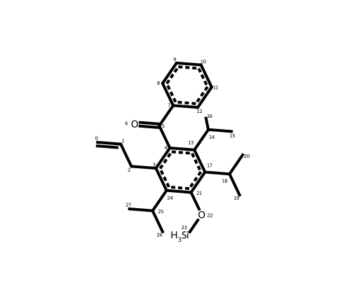 C=CCc1c(C(=O)c2ccccc2)c(C(C)C)c(C(C)C)c(O[SiH3])c1C(C)C